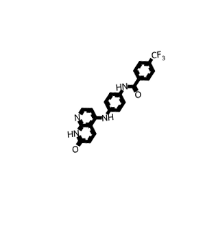 O=C(Nc1ccc(Nc2ccnc3[nH]c(=O)ccc23)cc1)c1ccc(C(F)(F)F)cc1